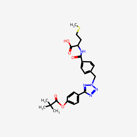 CSCCC(NC(=O)c1ccc(Cn2nnc(-c3ccc(OC(=O)C(C)(C)C)cc3)n2)cc1)C(=O)O